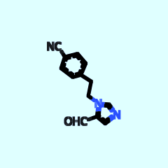 N#Cc1ccc(CCn2cncc2C=O)cc1